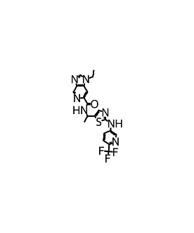 CCn1cnc2cnc(C(=O)NC(C)c3cnc(Nc4ccc(C(F)(F)F)nc4)s3)cc21